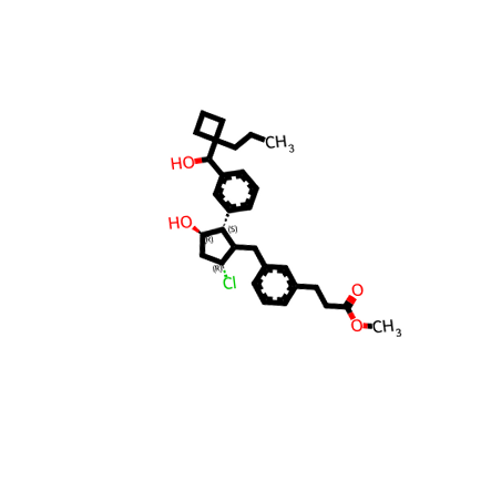 CCCC1(C(O)c2cccc([C@@H]3C(Cc4cccc(CCC(=O)OC)c4)[C@H](Cl)C[C@H]3O)c2)CCC1